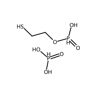 O=[PH](O)O.O=[PH](O)OCCS